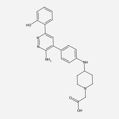 Nc1nnc(-c2ccccc2O)cc1-c1ccc(NC2CCN(CC(=O)O)CC2)cc1